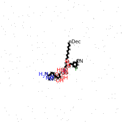 CCCCCCCCCCCCCCCCCCCOC[C@H](COP(=O)(O)OC[C@H]1O[C@@](C#N)(c2ccc3c(N)ncnn23)[C@H](O)[C@@H]1O)OCc1cc(F)cc(C#N)c1